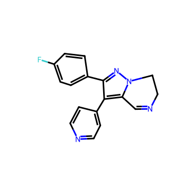 Fc1ccc(-c2nn3c(c2-c2ccncc2)C=NCC3)cc1